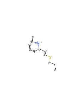 CCCS/C=C/c1cccc(C)n1